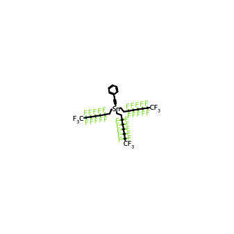 FC(F)(F)C(F)(F)C(F)(F)C(F)(F)C(F)(F)C(F)(F)C[CH2][Sn]([C]#Cc1ccccc1)([CH2]CC(F)(F)C(F)(F)C(F)(F)C(F)(F)C(F)(F)C(F)(F)F)[CH2]CC(F)(F)C(F)(F)C(F)(F)C(F)(F)C(F)(F)C(F)(F)F